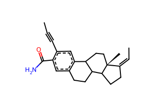 CC#Cc1cc2c(cc1C(N)=O)CCC1C2CC[C@]2(C)/C(=C\C)CCC12